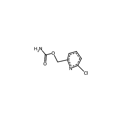 NC(=O)OCc1cccc(Cl)n1